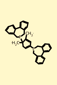 [CH2]C1=CC(P2Cc3ccccc3-c3ccccc3C2)=CCC1([CH2])P1Cc2ccccc2-c2ccccc2C1